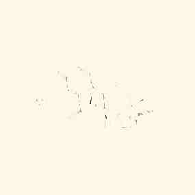 C=C1C[C@@H]2[C@H](CC[C@]3(C)C(=O)CC[C@@H]23)[C@@]2(C)C(C)=CC(=O)C(OC)=C12